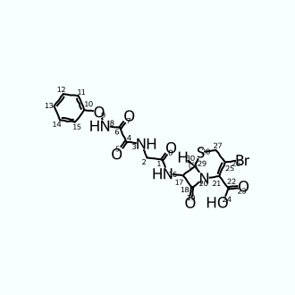 O=C(CNC(=O)C(=O)NOc1ccccc1)NC1C(=O)N2C(C(=O)O)=C(Br)CS[C@@H]12